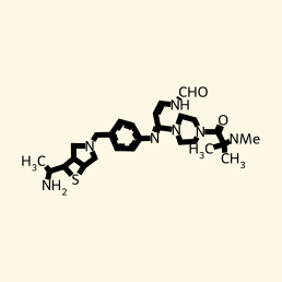 CNC(C)(C)C(=O)N1CCN(C(/C=C\NC=O)=N/c2ccc(CN3CC4SC(C(C)N)C4C3)cc2)CC1